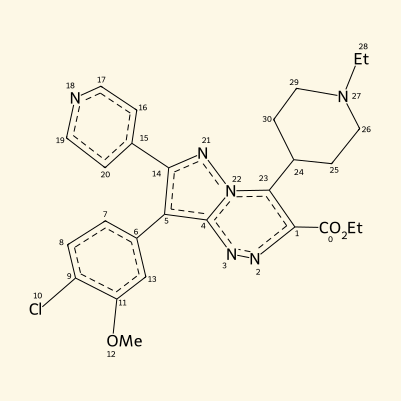 CCOC(=O)c1nnc2c(-c3ccc(Cl)c(OC)c3)c(-c3ccncc3)nn2c1C1CCN(CC)CC1